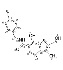 Cc1c(CO)sc2c(O)c(C(=O)NCc3ccc(F)cc3)cnc12